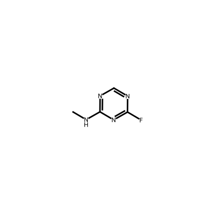 CNc1ncnc(F)n1